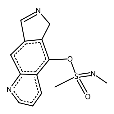 CN=S(C)(=O)Oc1c2c(cc3ncccc13)C=NC2